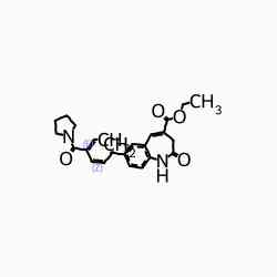 C=C(/C=C\C(=C/C)C(=O)N1CCCC1)c1ccc2c(c1)C=C(C(=O)OCC)CC(=O)N2